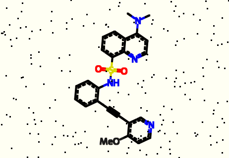 COc1ccncc1C#Cc1ccccc1NS(=O)(=O)c1cccc2c(N(C)C)ccnc12